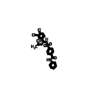 CN(C)C[C@H](NS(=O)(=O)c1ccc(C(=O)Nc2ccccc2)cc1)c1ccc(Cl)c(Cl)c1